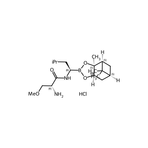 COC[C@@H](N)C(=O)N[C@@H](CC(C)C)B1O[C@@H]2C[C@@H]3C[C@@H](C3(C)C)[C@]2(C)O1.Cl